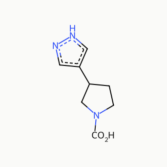 O=C(O)N1CCC(c2cn[nH]c2)C1